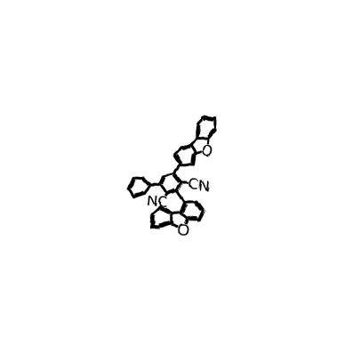 N#Cc1c(-c2ccccc2)cc(-c2ccc3c(c2)oc2ccccc23)c(C#N)c1-c1cccc2oc3ccccc3c12